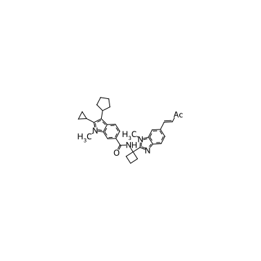 CC(=O)/C=C/c1ccc2nc(C3(NC(=O)c4ccc5c(C6CCCC6)c(C6CC6)n(C)c5c4)CCC3)n(C)c2c1